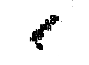 C/N=C(NCCc1ccncc1)\C(Cl)=C\C(=O)NCc1ncc(C(=O)Nc2ccc(Cl)c(C(F)(F)F)c2)s1